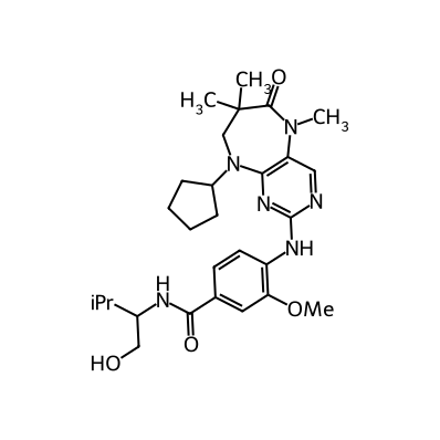 COc1cc(C(=O)NC(CO)C(C)C)ccc1Nc1ncc2c(n1)N(C1CCCC1)CC(C)(C)C(=O)N2C